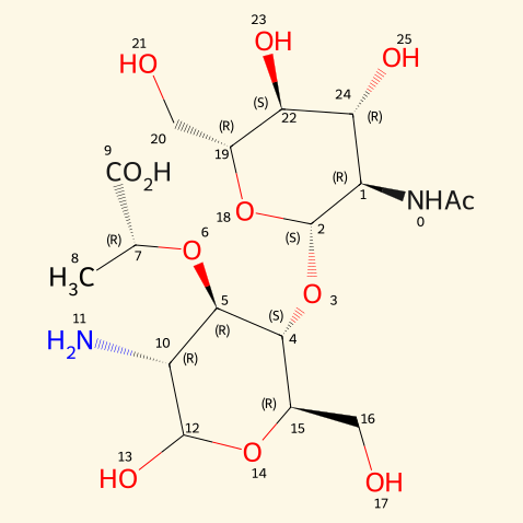 CC(=O)N[C@H]1[C@H](O[C@H]2[C@H](O[C@H](C)C(=O)O)[C@@H](N)C(O)O[C@@H]2CO)O[C@H](CO)[C@@H](O)[C@@H]1O